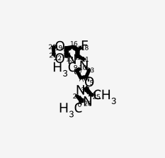 Cc1cnc(O[C@@H]2C[C@H](C)N(Cc3nc4c(cc3F)OCCO4)C2)c(C)n1